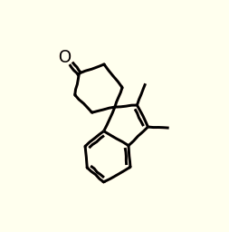 CC1=C(C)C2(CCC(=O)CC2)c2ccccc21